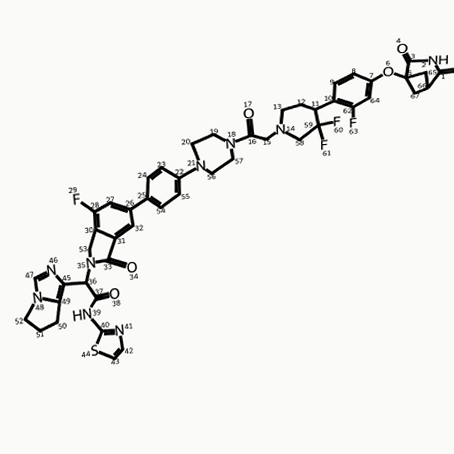 O=C1NC(=O)C2(Oc3ccc(C4CCN(CC(=O)N5CCN(c6ccc(-c7cc(F)c8c(c7)C(=O)N(C(C(=O)Nc7nccs7)c7ncn9c7CCC9)C8)cc6)CC5)CC4(F)F)c(F)c3)CC1C2